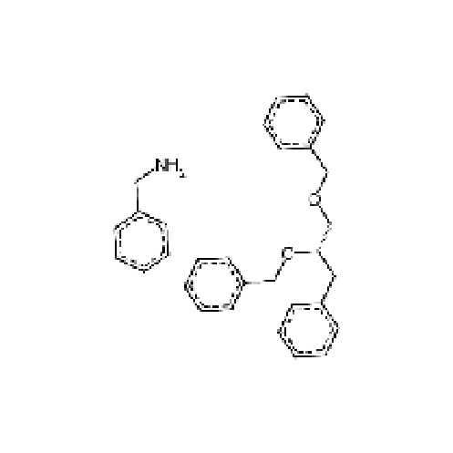 NCc1ccccc1.c1ccc(COC[C@H](Cc2ccccc2)OCc2ccccc2)cc1